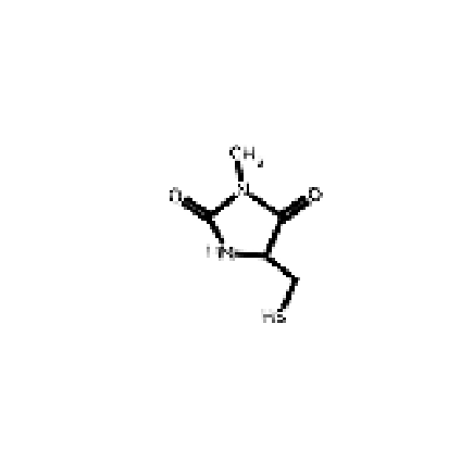 CN1C(=O)NC(CS)C1=O